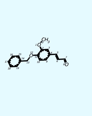 COc1cc(C=CC=O)ccc1OCc1ccccc1